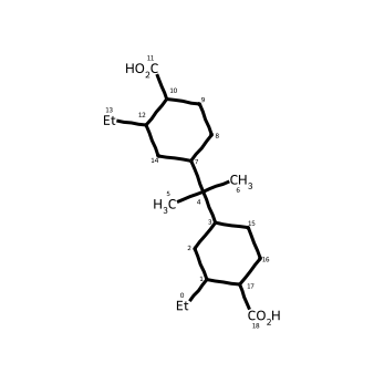 CCC1CC(C(C)(C)C2CCC(C(=O)O)C(CC)C2)CCC1C(=O)O